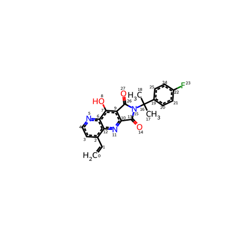 C=Cc1ccnc2c(O)c3c(nc12)C(=O)N(C(C)(C)c1ccc(F)cc1)C3=O